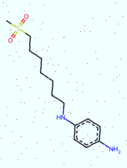 CS(=O)(=O)CCCCCCCNc1ccc(N)cc1